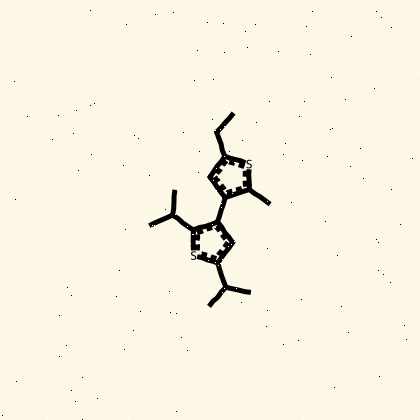 CCc1cc(-c2cc(C(C)C)sc2C(C)C)c(C)s1